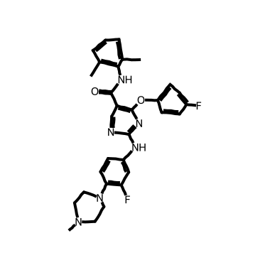 Cc1cccc(C)c1NC(=O)c1cnc(Nc2ccc(N3CCN(C)CC3)c(F)c2)nc1Oc1ccc(F)cc1